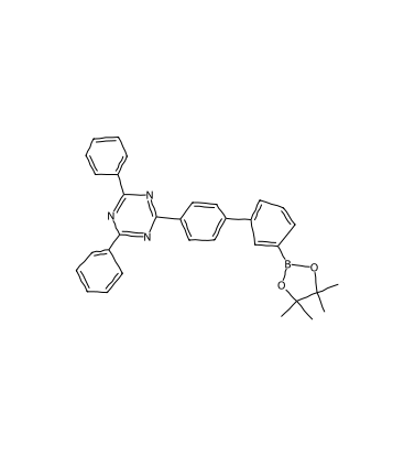 CC1(C)OB(c2cccc(-c3ccc(-c4nc(-c5ccccc5)nc(-c5ccccc5)n4)cc3)c2)OC1(C)C